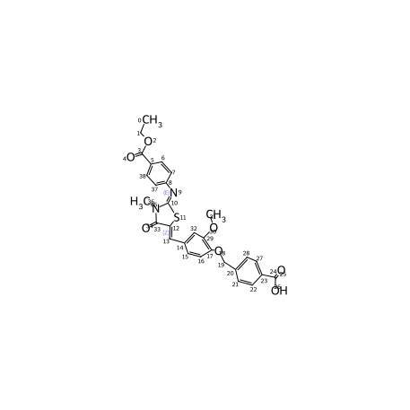 CCOC(=O)c1ccc(/N=C2/S/C(=C\c3ccc(OCc4ccc(C(=O)O)cc4)c(OC)c3)C(=O)N2C)cc1